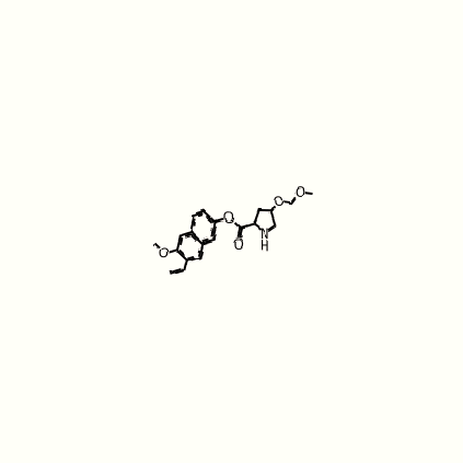 C=Cc1cc2cc(OC(=O)C3CC(OCOC)CN3)ccc2cc1OC